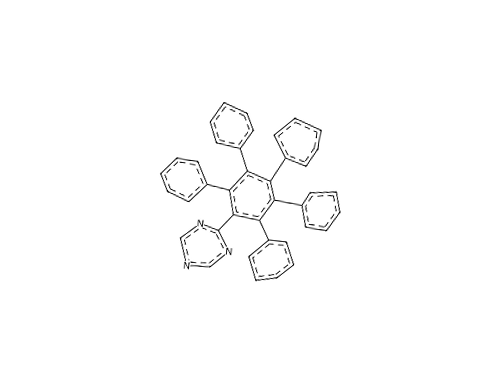 c1ccc(-c2c(-c3ccccc3)c(-c3ccccc3)c(-c3ncncn3)c(-c3ccccc3)c2-c2ccccc2)cc1